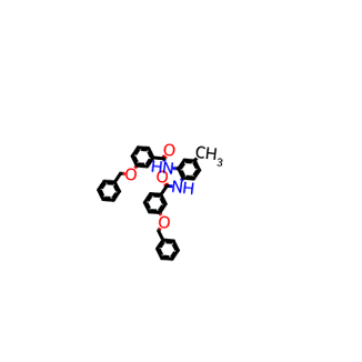 Cc1ccc(NC(=O)c2cccc(OCc3ccccc3)c2)c(NC(=O)c2cccc(OCc3ccccc3)c2)c1